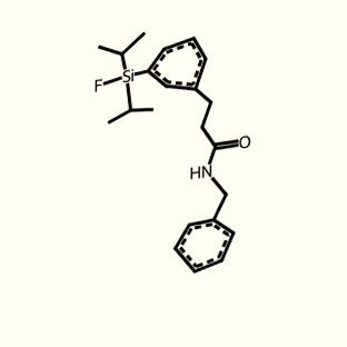 CC(C)[Si](F)(c1cccc(CCC(=O)NCc2ccccc2)c1)C(C)C